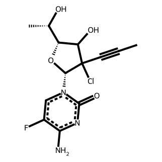 CC#CC1(Cl)C(O)[C@@H]([C@H](C)O)O[C@H]1n1cc(F)c(N)nc1=O